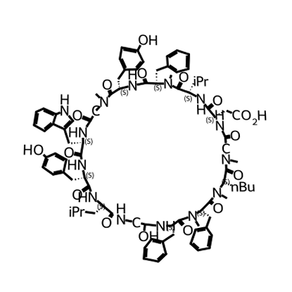 CCCC[C@H]1C(=O)N(C)CC(=O)N[C@@H](CC(=O)O)C(=O)N[C@@H](C(C)C)C(=O)N(C)[C@@H](Cc2ccccc2)C(=O)N[C@@H](Cc2ccc(O)cc2)C(=O)N(C)CC(=O)N[C@@H](Cc2c[nH]c3ccccc23)C(=O)N[C@@H](Cc2ccc(O)cc2)C(=O)N[C@@H](CC(C)C)C(=O)NCC(O)N[C@@H](Cc2ccccc2)C(=O)N(C)[C@@H](Cc2ccccc2)C(=O)N1C